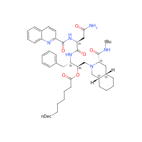 CCCCCCCCCCCCCCCC(=O)O[C@H](CN1C[C@H]2CCCC[C@H]2C[C@H]1C(=O)NC(C)(C)C)[C@H](Cc1ccccc1)NC(=O)[C@H](CC(N)=O)NC(=O)c1ccc2ccccc2n1